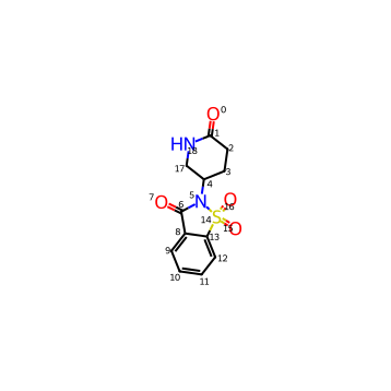 O=C1CCC(N2C(=O)c3ccccc3S2(=O)=O)CN1